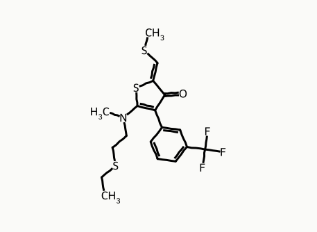 CCSCCN(C)C1=C(c2cccc(C(F)(F)F)c2)C(=O)C(=CSC)S1